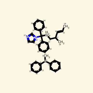 CB(c1ccccc1)c1ccccc1.CC=CC(C)C[SiH2]C(c1ccccc1)(c1ccccc1)n1ccnc1